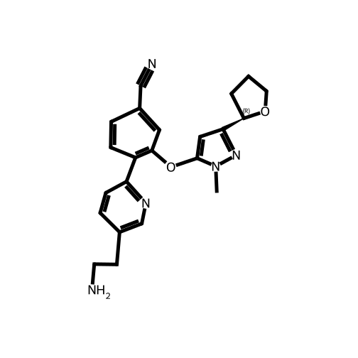 Cn1nc([C@H]2CCCO2)cc1Oc1cc(C#N)ccc1-c1ccc(CCN)cn1